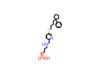 O=[PH](O)OCCCNCc1ccc(SCCCCC2(c3ccccc3)CCCC2)cn1